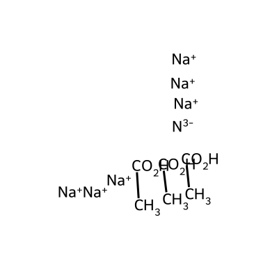 CC(=O)O.CC(=O)O.CC(=O)O.[N-3].[Na+].[Na+].[Na+].[Na+].[Na+].[Na+]